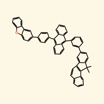 CC1(C)c2ccc(-c3cccc(-c4c5ccccc5c(-c5ccc(-c6ccc7oc8ccccc8c7c6)cc5)c5ccccc45)c3)cc2-c2ccc3ccccc3c21